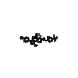 COc1cc(OCc2ccc(C(F)(F)F)cn2)ccc1-c1c(Br)nc(-c2ccc(Cl)nc2)n1C